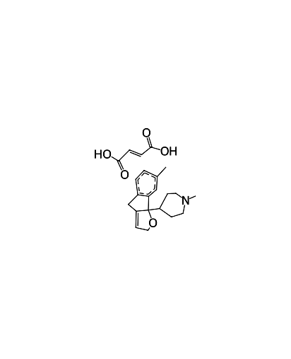 Cc1ccc2c(c1)C1(C3CCN(C)CC3)OCC=C1C2.O=C(O)/C=C/C(=O)O